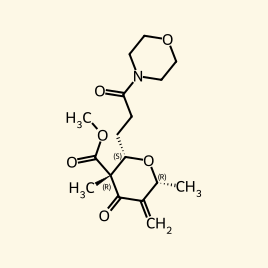 C=C1C(=O)[C@](C)(C(=O)OC)[C@H](CCC(=O)N2CCOCC2)O[C@@H]1C